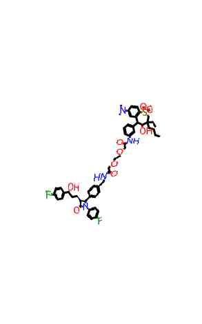 CCCCC1(CC)CS(=O)(=O)c2ccc(N(C)C)cc2C(c2cccc(NC(=O)COCCOCC(=O)NCc3ccc(C4C(CCC(O)c5ccc(F)cc5)C(=O)N4c4ccc(F)cc4)cc3)c2)C1O